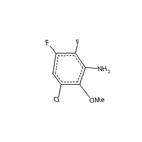 COc1c(Cl)cc(F)c(F)c1N